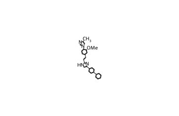 COc1cc(C=Cc2nc(-c3ccc(-c4ccccc4)cc3)c[nH]2)ccc1-n1cnc(C)c1